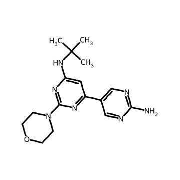 CC(C)(C)Nc1cc(-c2cnc(N)nc2)nc(N2CCOCC2)n1